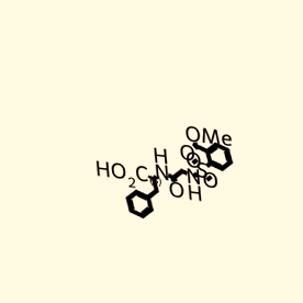 COC(=O)c1ccccc1S(=O)(=O)NCC(=O)N[C@@H](Cc1ccccc1)C(=O)O